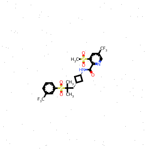 CC(C)(C[C@H]1C[C@@H](NC(=O)c2ncc(C(F)(F)F)cc2S(C)(=O)=O)C1)S(=O)(=O)c1cccc(C(F)(F)F)c1